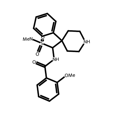 CNS(=O)(=O)C(NC(=O)c1ccccc1OC)C1(c2ccccc2)CCNCC1